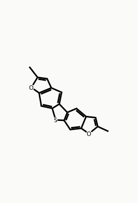 Cc1cc2cc3c(cc2o1)sc1cc2oc(C)cc2cc13